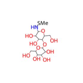 CSNC1OC(CO)C(OC2OC(CO)C(O)C(O)C2O)C(O)C1O